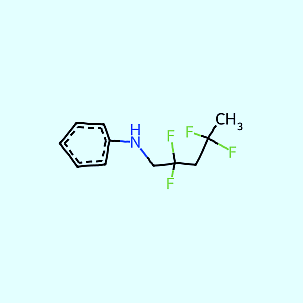 CC(F)(F)CC(F)(F)CNc1ccccc1